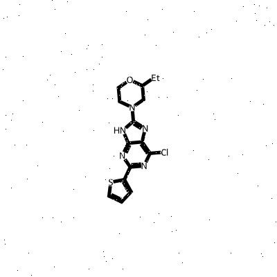 CCC1CN(c2nc3c(Cl)nc(-c4cccs4)nc3[nH]2)CCO1